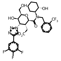 O=C(O)C[C@@H]1[C@H](n2cc(-c3cc(F)c(F)c(F)c3)nn2)[C@@H](O)[C@@H](CO)O[C@H]1C(=O)N(Cc1ccccc1C(F)(F)F)[C@H]1CCCC[C@@H]1O